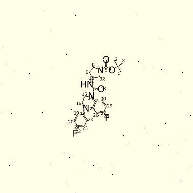 CC(C)(C)OC(=O)N1CC[C@@H](NC(=O)N2CCN(c3ccc(F)cc3)c3cc(F)ccc32)C1